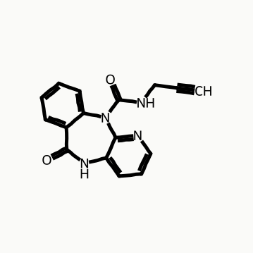 C#CCNC(=O)N1c2ccccc2C(=O)Nc2cccnc21